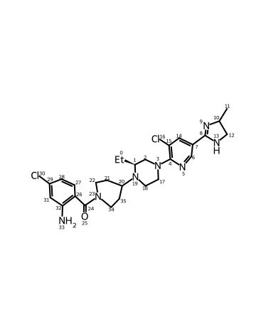 CC[C@H]1CN(c2ncc(C3=NC(C)CN3)cc2Cl)CCN1C1CCN(C(=O)c2ccc(Cl)cc2N)CC1